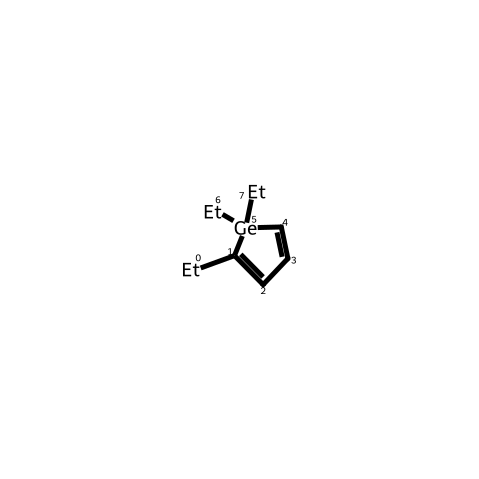 CC[C]1=CC=[CH][Ge]1([CH2]C)[CH2]C